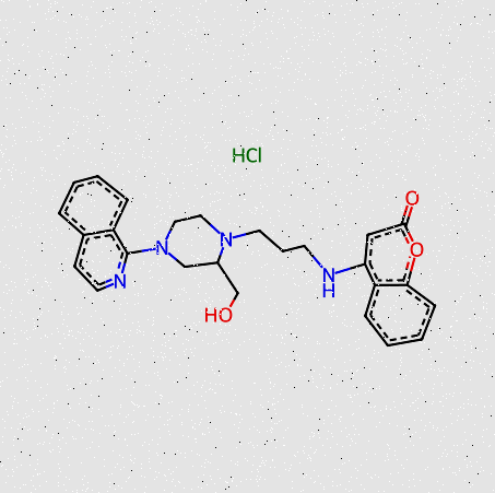 Cl.O=c1cc(NCCCN2CCN(c3nccc4ccccc34)CC2CO)c2ccccc2o1